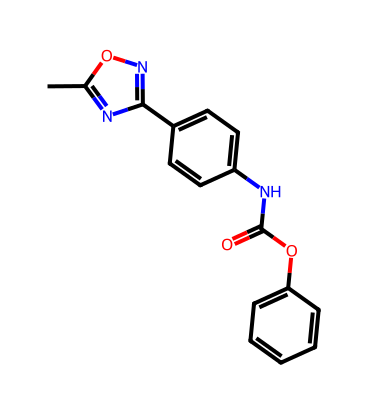 Cc1nc(-c2ccc(NC(=O)Oc3ccccc3)cc2)no1